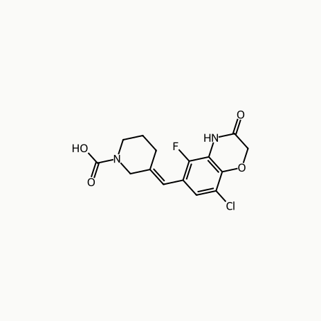 O=C1COc2c(Cl)cc(C=C3CCCN(C(=O)O)C3)c(F)c2N1